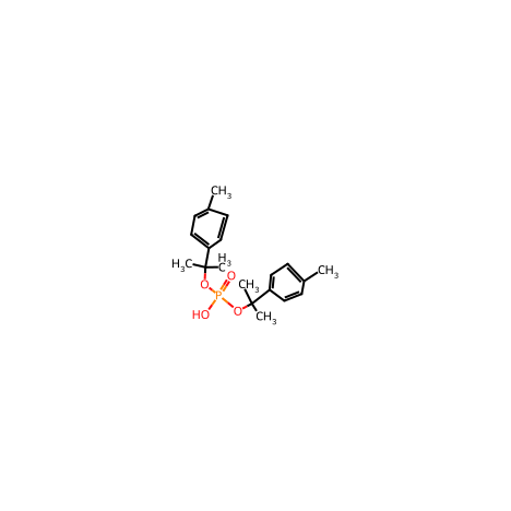 Cc1ccc(C(C)(C)OP(=O)(O)OC(C)(C)c2ccc(C)cc2)cc1